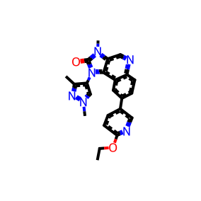 CCOc1ccc(-c2ccc3ncc4c(c3c2)n(-c2cn(C)nc2C)c(=O)n4C)cn1